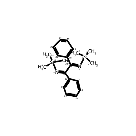 C[Si](C)(C)N=C(C(=N[Si](C)(C)C)c1ccccc1)c1ccccc1